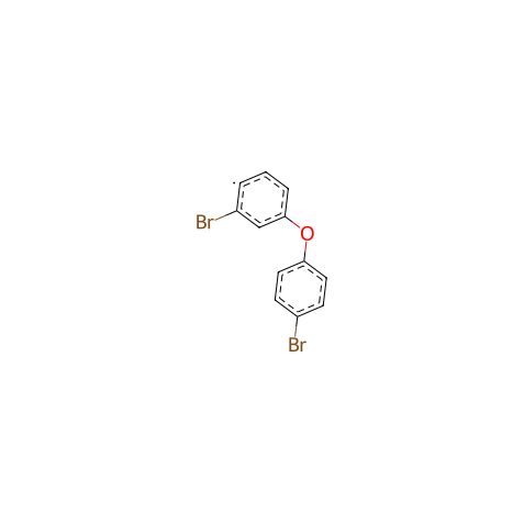 Brc1[c]ccc(Oc2ccc(Br)cc2)c1